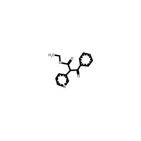 CCOC(=O)C(C(=O)c1ccccc1)c1cccnc1